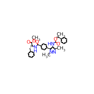 COC(=O)[C@@H](Cc1ccccc1)NC(=O)c1ccc(-c2c(NC(=O)O[C@H](C)c3ccccc3)c(C)nn2C)cc1